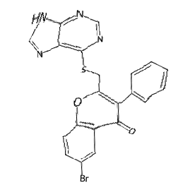 O=c1c(-c2ccccc2)c(CSc2ncnc3[nH]cnc23)oc2ccc(Br)cc12